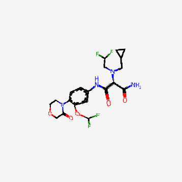 NC(=O)[C@@H](C(=O)Nc1ccc(N2CCOCC2=O)c(OC(F)F)c1)N(CC(F)F)CC1CC1